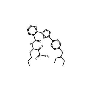 CCCCC(NC(=O)c1cccnc1-n1ccc(-c2ccc(CN(CC)CC)cc2)n1)C(=O)C(N)=O